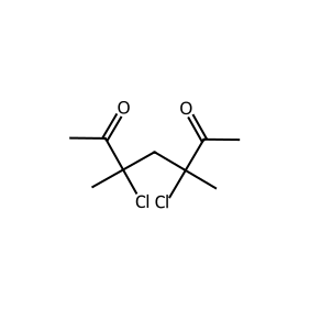 CC(=O)C(C)(Cl)CC(C)(Cl)C(C)=O